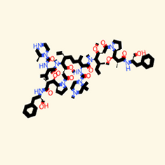 CC[C@H](CCC(C)[C@H](NC(=O)N1CCN(C)CC1(C)C)C(=O)N(C)[C@@H]([C@@H](C)CC)[C@@H](CC(=O)N1CCC[C@H]1[C@H](OC)[C@@H](C)C(=O)N[C@H](CO)Cc1ccccc1)OC)[C@@H]([C@@H](CC(=O)N1CCC[C@H]1[C@H](OC)[C@@H](C)C(=O)N[C@H](CO)Cc1ccccc1)OC)N(C)C(=O)[C@@H](NC(=O)N1CCNC[C@@H]1C)C(C)C